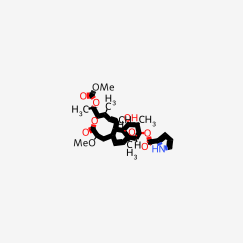 COC(=O)O[C@H](C)[C@H]1OC(=O)[C@@H](OC)CC2C=C[C@]3(C)[C@H]4[C@H](O)[C@@H](C)[C@@H](OC(=O)c5ccc[nH]5)[C@@H]3O[C@@]24/C(C)=C/[C@H]1C